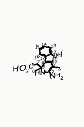 CC1=C(N)NC(C)(CC(=O)O)c2c1[nH]c1ccccc21